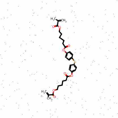 C=C(C)C(=O)OCCCCCC(=O)Oc1ccc(Sc2ccc(OC(=O)CCCCCOC(=O)C(=C)C)cc2)cc1